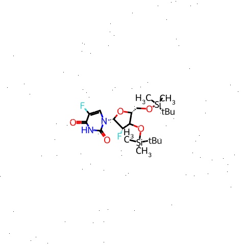 CC(C)(C)[Si](C)(C)OC[C@H]1O[C@@H](n2cc(F)c(=O)[nH]c2=O)[C@@H](F)C1O[Si](C)(C)C(C)(C)C